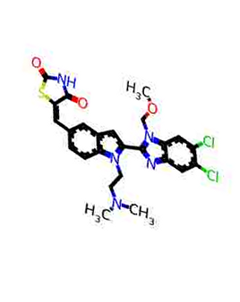 COCn1c(-c2cc3cc(C=C4SC(=O)NC4=O)ccc3n2CCN(C)C)nc2cc(Cl)c(Cl)cc21